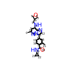 Cc1cc(NCC2COC2)c2ncc(-c3ccc(C(=O)NC4CC4)c(C)c3)n2n1